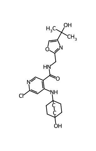 CC(C)(O)c1coc(CNC(=O)c2cnc(Cl)cc2NC23CCC(O)(CC2)CC3)n1